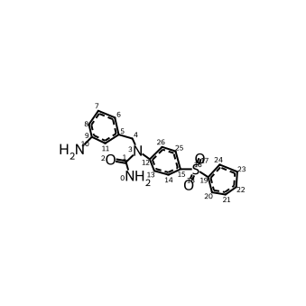 NC(=O)N(Cc1cccc(N)c1)c1ccc(S(=O)(=O)c2ccccc2)cc1